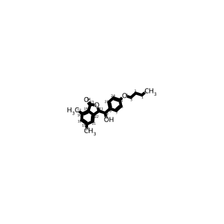 CCCCOc1ccc(C(O)C2OC(=O)c3c(C)cc(C)cc32)cc1